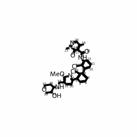 COc1nc(-c2cccc(-c3cccc(NC(=O)c4c(C)cnn(C)c4=O)c3Cl)c2Cl)ccc1CNC1CCOCC1O